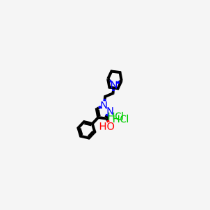 Cl.Cl.Oc1nn(CCN2C3CCC2CC3)cc1-c1ccccc1